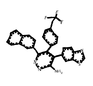 Nc1nnc(-c2ccc3ccccc3c2)c(-c2ccc(C(F)(F)F)cc2)c1-c1ccc2ncsc2c1